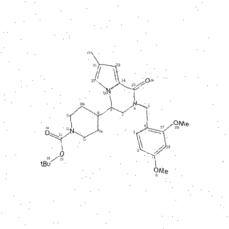 COc1ccc(CN2CC(C3CCN(C(=O)OC(C)(C)C)CC3)n3cc(C)cc3C2=O)c(OC)c1